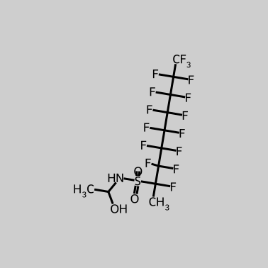 CC(O)NS(=O)(=O)C(C)(F)C(F)(F)C(F)(F)C(F)(F)C(F)(F)C(F)(F)C(F)(F)C(F)(F)F